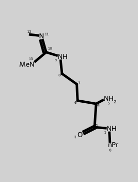 CCCNC(=O)C(N)CCCN/C(=N/C)NC